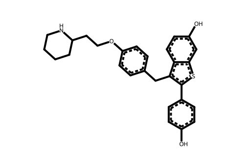 Oc1ccc(-c2sc3cc(O)ccc3c2Cc2ccc(OCCC3CCCCN3)cc2)cc1